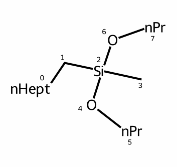 CCCCCCCC[Si](C)(OCCC)OCCC